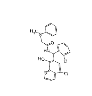 CN(CC(=O)NC(c1ccccc1Cl)c1cc(Cl)c2cccnc2c1O)c1ccccc1